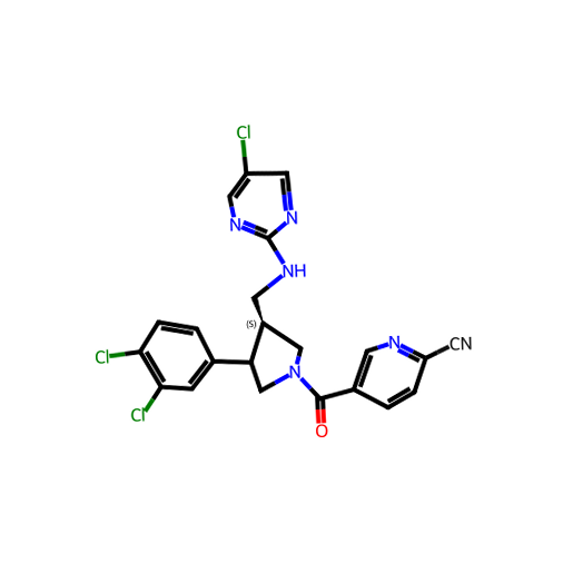 N#Cc1ccc(C(=O)N2CC(c3ccc(Cl)c(Cl)c3)[C@@H](CNc3ncc(Cl)cn3)C2)cn1